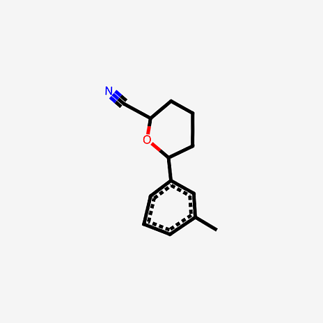 Cc1cccc(C2CCCC(C#N)O2)c1